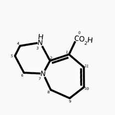 O=C(O)C1=C2NCCCN2CCC=C1